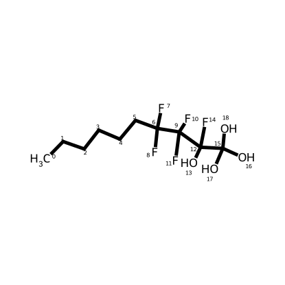 CCCCCCC(F)(F)C(F)(F)C(O)(F)C(O)(O)O